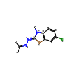 CC(C)=N/N=c1\sc2cc(Cl)ccc2n1C